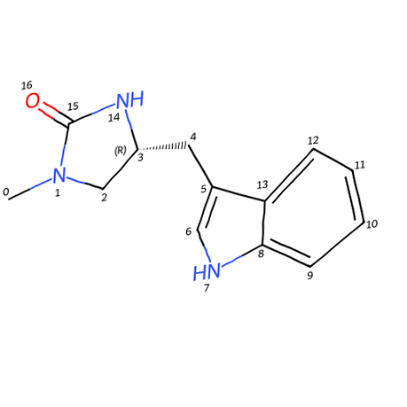 CN1C[C@@H](Cc2c[nH]c3ccccc23)NC1=O